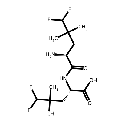 CC(C)(C[C@H](NC(=O)[C@@H](N)CC(C)(C)C(F)F)C(=O)O)C(F)F